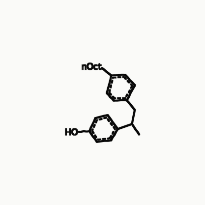 CCCCCCCCc1ccc(CC(C)c2ccc(O)cc2)cc1